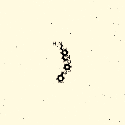 NCCc1ccc2nc(Oc3ccc(OCC4CCCCC4)cc3)ccc2c1